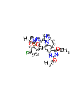 COc1ncc(-c2ccc3ncc(/C=N/N(C)S(=O)(=O)c4cc(F)ccc4C)n3c2)c(OC)n1